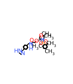 Cc1cc(C)c(S(=O)(=O)N2CC(C)(C)OC[C@H]2COCC(=O)NCc2ccc(C3=NCCN3)cc2)c(C)c1